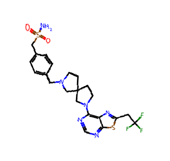 NS(=O)(=O)Cc1ccc(CN2CCC3(CCN(c4ncnc5sc(CC(F)(F)F)nc45)C3)C2)cc1